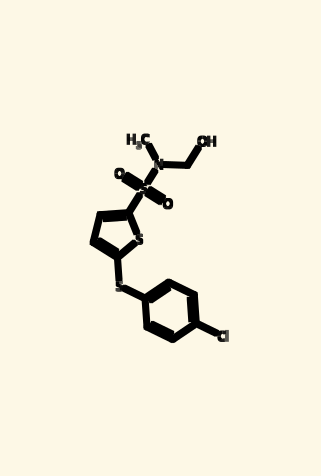 CN(CO)S(=O)(=O)c1ccc(Sc2ccc(Cl)cc2)s1